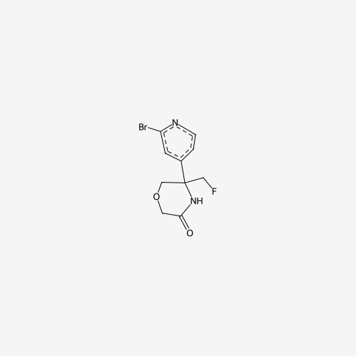 O=C1COCC(CF)(c2ccnc(Br)c2)N1